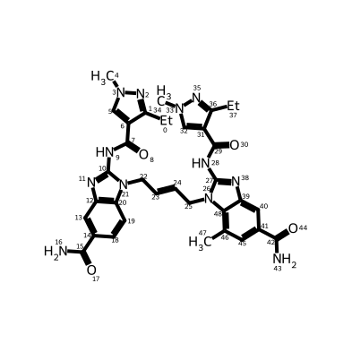 CCc1nn(C)cc1C(=O)Nc1nc2cc(C(N)=O)ccc2n1C/C=C/Cn1c(NC(=O)c2cn(C)nc2CC)nc2cc(C(N)=O)cc(C)c21